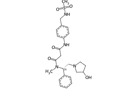 CN(C(=O)CC(=O)Nc1ccc(CNS(C)(=O)=O)cc1)[C@H](CN1CCC(O)C1)c1ccccc1